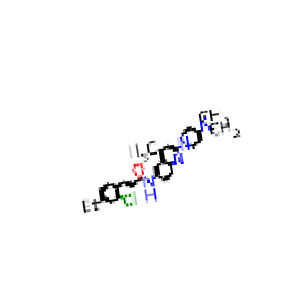 CCc1ccc(C=CC(=O)Nc2ccc3nc(N4CCC(N(C)C)CC4)cc(C)c3c2)c(Cl)c1